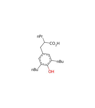 CCCCc1cc(CC(CCC)C(=O)O)cc(CCCC)c1O